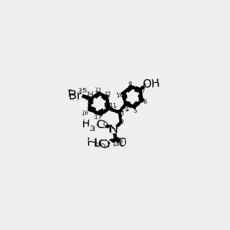 CN(CC(c1ccc(O)cc1)c1ccc(Br)cc1)C(=O)O